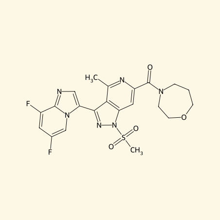 Cc1nc(C(=O)N2CCCOCC2)cc2c1c(-c1cnc3c(F)cc(F)cn13)nn2S(C)(=O)=O